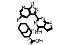 O=C(O)[C@H]1CC2CCCC(C2)[C@@H]1Nc1nc(-c2n[nH]c3ncc(F)cc23)nc2sccc12